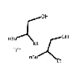 CCCCC(CC)CO.CCCCC(CC)CO.[Ti+4]